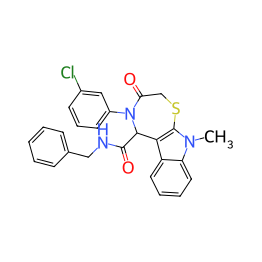 Cn1c2c(c3ccccc31)C(C(=O)NCc1ccccc1)N(c1cccc(Cl)c1)C(=O)CS2